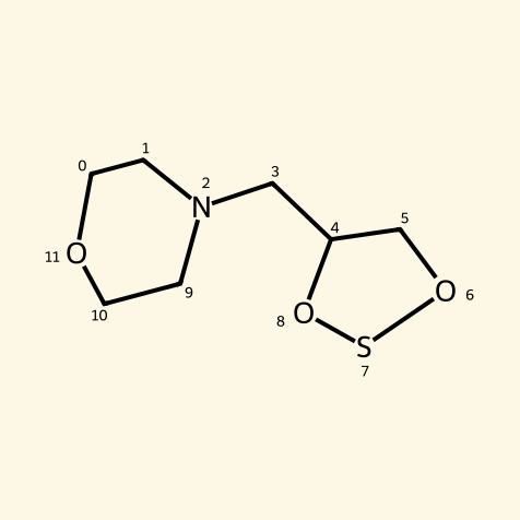 C1CN(CC2COSO2)CCO1